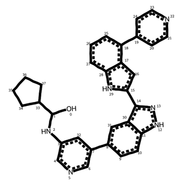 OC(Nc1cncc(-c2ccc3[nH]nc(-c4cc5c(-c6ccncc6)cccc5[nH]4)c3c2)c1)C1CCCC1